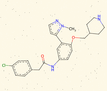 Cn1nccc1-c1cc(NC(=O)Cc2ccc(Cl)cc2)ccc1OCC1CCNCC1